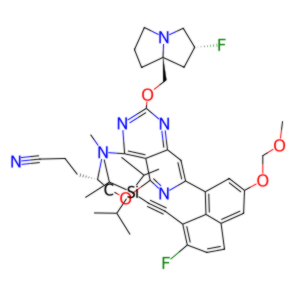 COCOc1cc(-c2cc3nc(OC[C@@]45CCCN4C[C@H](F)C5)nc4c3c(n2)OC[C@H](CCC#N)N4C)c2c(C#C[Si](C(C)C)(C(C)C)C(C)C)c(F)ccc2c1